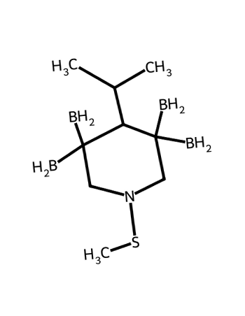 BC1(B)CN(SC)CC(B)(B)C1C(C)C